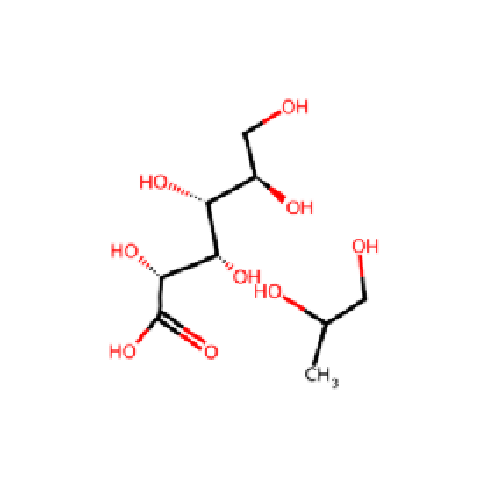 CC(O)CO.O=C(O)[C@H](O)[C@@H](O)[C@H](O)[C@H](O)CO